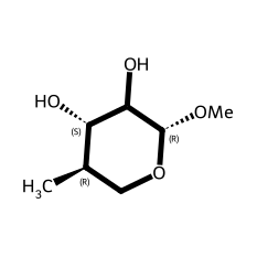 CO[C@@H]1OC[C@@H](C)[C@H](O)C1O